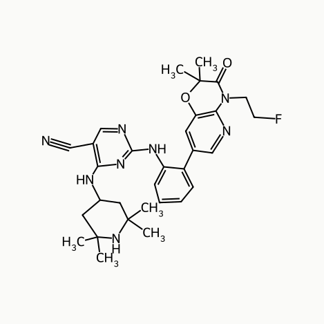 CC1(C)CC(Nc2nc(Nc3ccccc3-c3cnc4c(c3)OC(C)(C)C(=O)N4CCF)ncc2C#N)CC(C)(C)N1